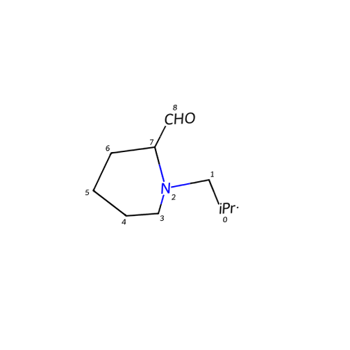 C[C](C)CN1CCCCC1C=O